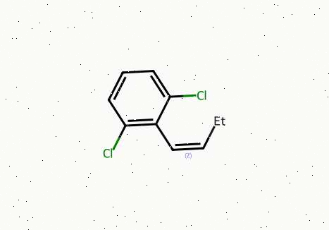 CC/C=C\c1c(Cl)cccc1Cl